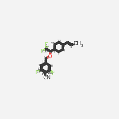 C/C=C/C1CCC(C(OCc2cc(F)c(C#N)c(F)c2)C(F)F)CC1